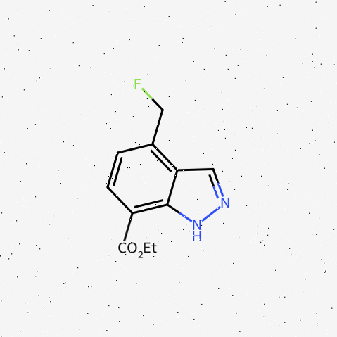 CCOC(=O)c1ccc(CF)c2cn[nH]c12